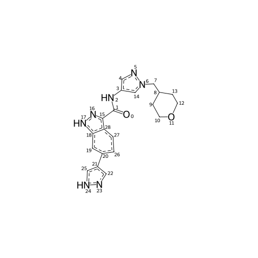 O=C(Nc1cnn(CC2CCOCC2)c1)c1n[nH]c2cc(-c3cn[nH]c3)ccc12